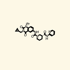 CC(C)n1c(=O)n(CC2CC2)c(=O)c2cc(NC(=O)N3CCC[C@@H](C(=O)Nc4ccccn4)C3)ccc21